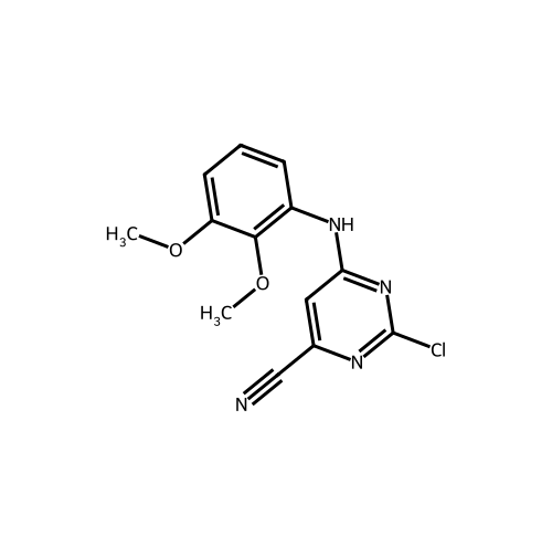 COc1cccc(Nc2cc(C#N)nc(Cl)n2)c1OC